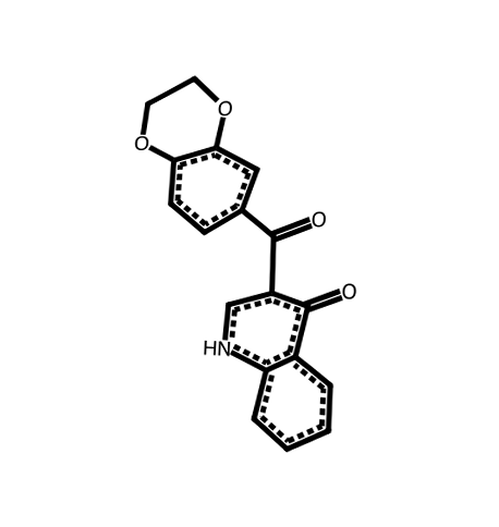 O=C(c1ccc2c(c1)OCCO2)c1c[nH]c2ccccc2c1=O